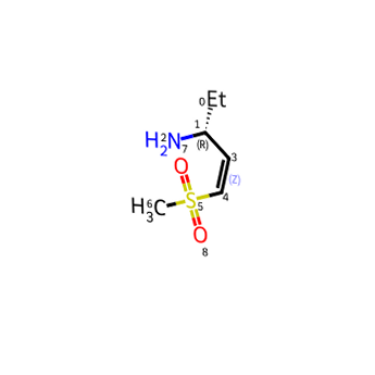 CC[C@@H](N)/C=C\S(C)(=O)=O